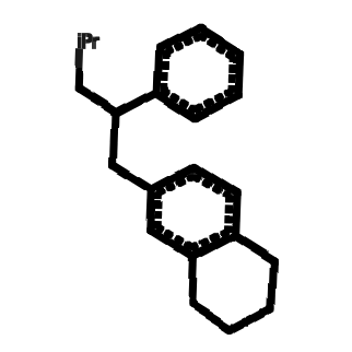 CC(C)CC(Cc1ccc2c(c1)CCCC2)c1ccccc1